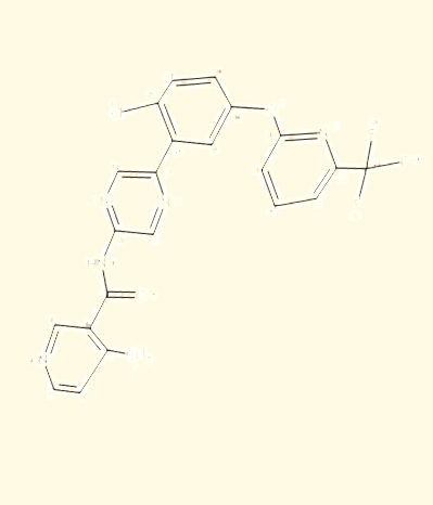 Cc1ccncc1C(=O)Nc1cnc(-c2cc(Oc3cccc(C(F)(F)F)n3)ccc2Cl)cn1